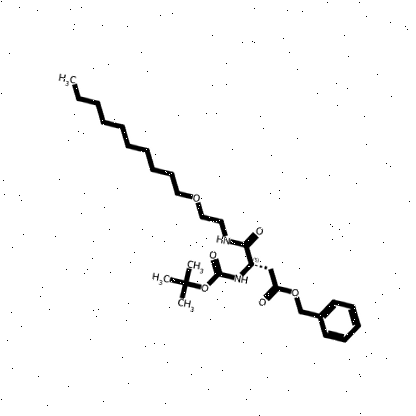 CCCCCCCCCCOCCNC(=O)[C@H](CC(=O)OCc1ccccc1)NC(=O)OC(C)(C)C